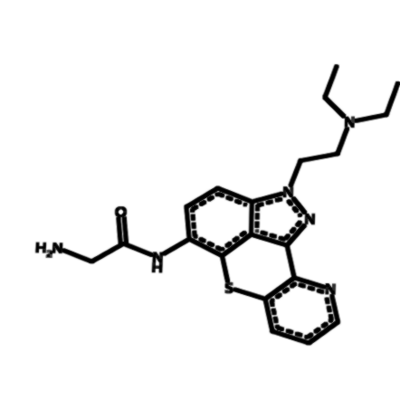 CCN(CC)CCn1nc2c3c(c(NC(=O)CN)ccc31)Sc1cccnc1-2